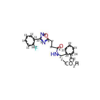 O=C(O)C[C@H](NC(=O)CCc1nc(-c2ccccc2F)no1)c1ccccc1C(F)(F)F